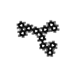 c1cc(-c2ccc(N(c3ccc(-c4ccc5c6ccccc6c6ccccc6c5c4)cc3)c3ccc(-c4cccc5ccccc45)cc3)cc2)cc(-n2c3ccccc3c3ccccc32)c1